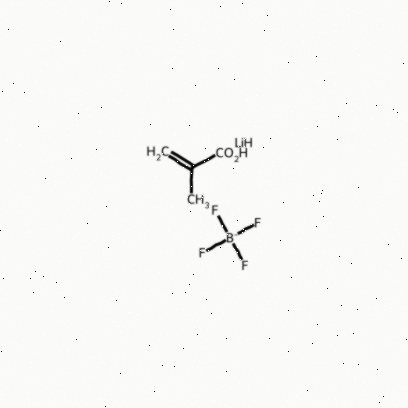 C=C(C)C(=O)O.F[B-](F)(F)F.[LiH]